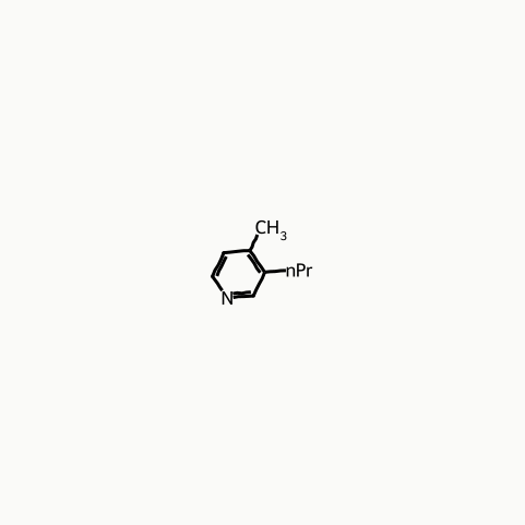 CCCc1cnccc1C